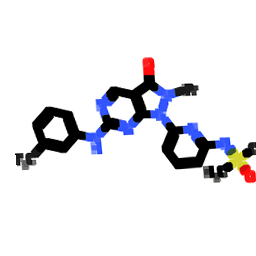 CC(C)n1c(=O)c2cnc(Nc3cccc(C(F)(F)F)c3)nc2n1-c1cccc(N=S(C)(C)=O)n1